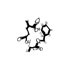 C=C(CCC(=O)O)C(=O)O.C=CC(=O)OCc1ccccc1